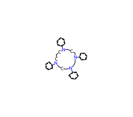 c1ccc(N2CCCN(c3ccccc3)CCCN(c3ccccc3)CCN(c3ccccc3)CCC2)cc1